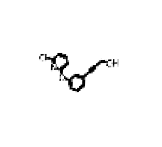 OCC#Cc1cccc(Oc2cccc(Cl)n2)c1